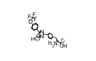 Cl.N[C@@H](Cc1ccc(-c2noc(-c3ccc(OC(F)(F)F)cc3)n2)cc1)C(=O)O